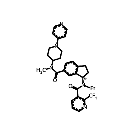 CC(C)N(C(=O)c1cccnc1C(F)(F)F)[C@@H]1CCc2ccc(C(=O)N(C)C3CCN(c4ccncc4)CC3)cc21